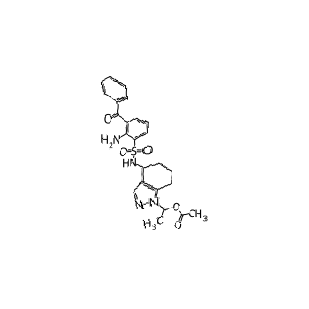 CC(=O)OC(C)n1ncc2c1CCCC2NS(=O)(=O)c1cccc(C(=O)c2ccccc2)c1N